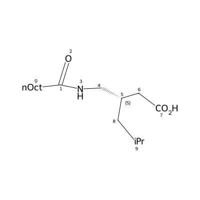 CCCCCCCCC(=O)NC[C@H](CC(=O)O)CC(C)C